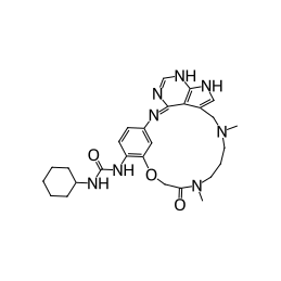 CN1CCCN(C)C(=O)COc2cc(ccc2NC(=O)NC2CCCCC2)/N=C2/N=CNc3[nH]cc(c32)C1